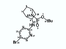 CC(C)(C)OC(=O)N1C2CCC1C(Nc1ccc(Br)cn1)C2